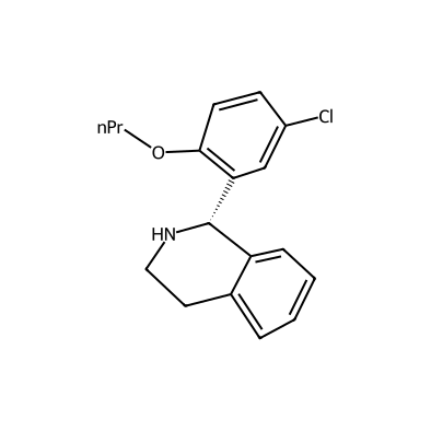 CCCOc1ccc(Cl)cc1[C@H]1NCCc2ccccc21